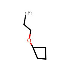 [CH2]CCCCOC1CCC1